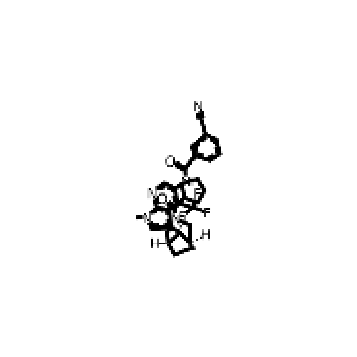 Cn1cc([C@H]2[C@@H]3CC[C@H]2CN(C(=O)C2CCCC2)C3)c2c(C(F)(F)F)c(NC(=O)c3cccc(C#N)c3)cnc21